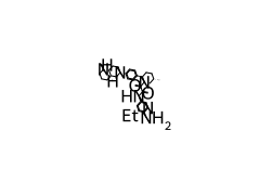 CCc1cc(NC(=O)C(=O)N2C[C@@H](C)CC[C@@H]2c2ccc(N3CC[C@H]4[C@H](CCCN4C)C3)cc2)cnc1N